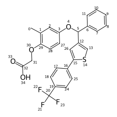 Cc1cc(OC(c2ccccc2)c2csc(-c3ccc(C(F)(F)F)cc3)c2)ccc1OCC(=O)O